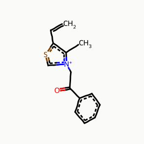 C=Cc1sc[n+](CC(=O)c2ccccc2)c1C